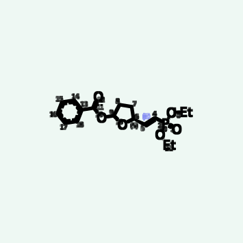 CCOP(=O)(/C=C/[C@@H]1CCC(OC(=O)c2ccccc2)O1)OCC